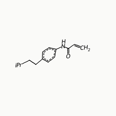 C=CC(=O)Nc1ccc(CCC(C)C)cc1